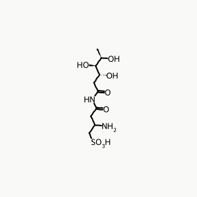 C[C@@H](O)[C@H](O)[C@H](O)CC(=O)NC(=O)CC(N)CS(=O)(=O)O